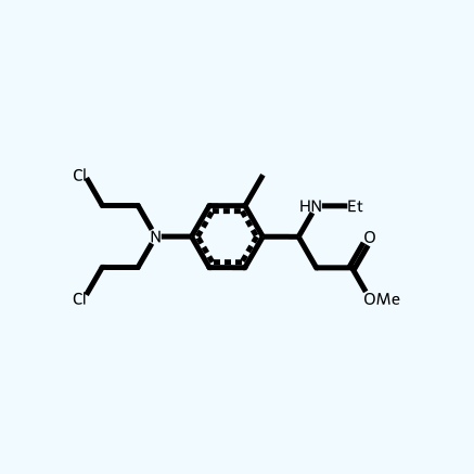 CCNC(CC(=O)OC)c1ccc(N(CCCl)CCCl)cc1C